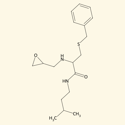 CC(C)CCNC(=O)C(CSCc1ccccc1)NCC1CO1